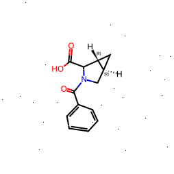 O=C(O)C1[C@@H]2C[C@H]2CN1C(=O)c1ccccc1